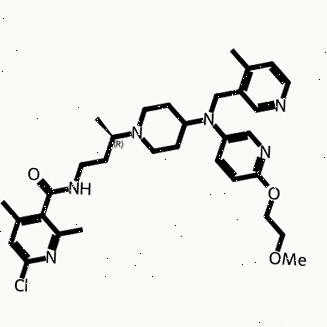 COCCOc1ccc(N(Cc2cnccc2C)C2CCN([C@H](C)CCNC(=O)c3c(C)cc(Cl)nc3C)CC2)cn1